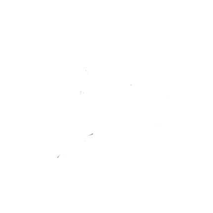 B[C@@H]1O[C@H](COP(=CC)(OCCO)C2CNONOC3C(O2)[C@@H](COC)O[C@H]3B)C(OP(C)(=O)O)C1O